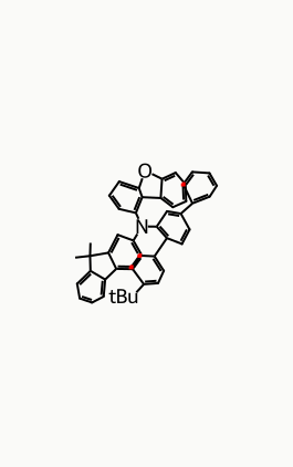 CC(C)(C)c1ccc(-c2ccc(-c3ccccc3)cc2N(c2ccc3c(c2)C(C)(C)c2ccccc2-3)c2cccc3oc4ccccc4c23)cc1